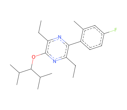 CCc1nc(-c2ccc(F)cc2C)c(CC)nc1OC(C(C)C)C(C)C